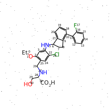 CCOc1cc(NC2CCc3c(-c4ccccc4F)cccc32)c(Cl)cc1CN[C@@H](CO)C(=O)O